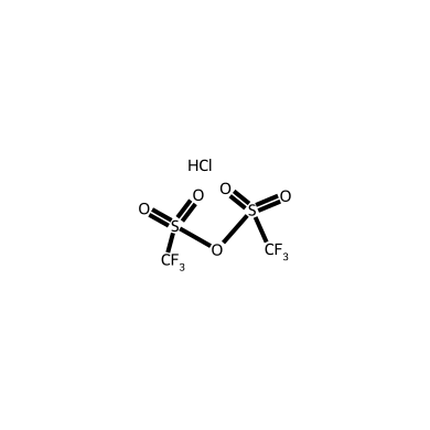 Cl.O=S(=O)(OS(=O)(=O)C(F)(F)F)C(F)(F)F